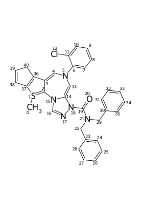 CS1=C2C(=CN(c3ccccc3Cl)C=C3N2C=NN3C(=O)N(Cc2ccccc2)Cc2ccccc2)C2=C1C=CC2